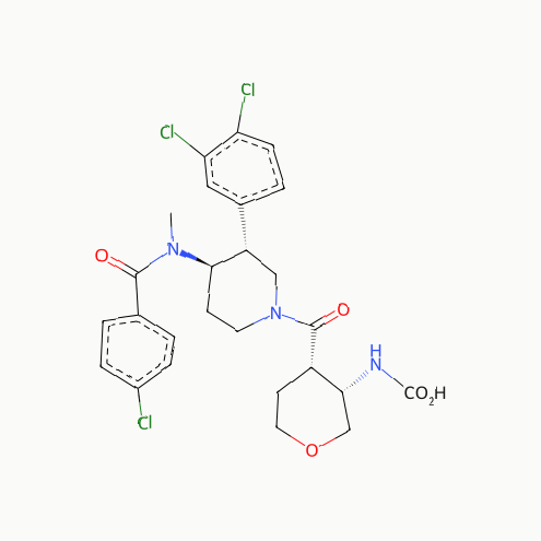 CN(C(=O)c1ccc(Cl)cc1)[C@@H]1CCN(C(=O)[C@H]2CCOC[C@H]2NC(=O)O)C[C@H]1c1ccc(Cl)c(Cl)c1